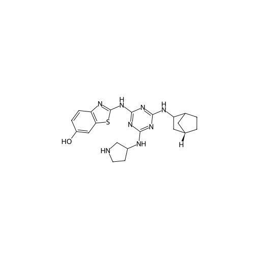 Oc1ccc2nc(Nc3nc(NC4CCNC4)nc(NC4C[C@H]5CCC4C5)n3)sc2c1